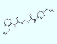 CCc1ccc(NC(=O)OCOC(=O)Nc2ccccc2CC)cc1